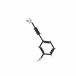 CC#Cc1cc[c]c(F)c1